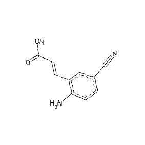 N#Cc1ccc(N)c(C=CC(=O)O)c1